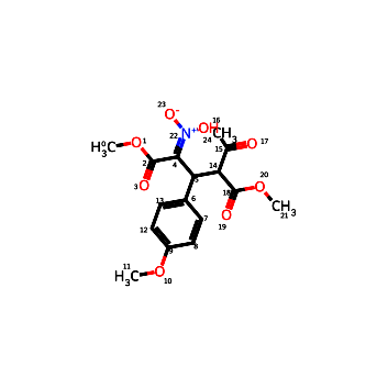 COC(=O)/C(C(c1ccc(OC)cc1)C(C(C)=O)C(=O)OC)=[N+](\[O-])O